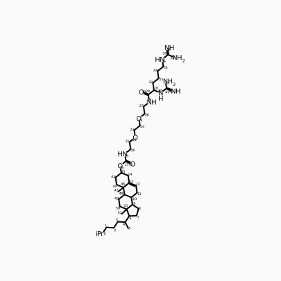 CC(C)CCCC(C)C1CCC2C3CC=C4CC(OC(=O)NCCOCCOCCNC(=O)C(CCCCNC(=N)N)NC(=N)N)CCC4(C)C3CCC12C